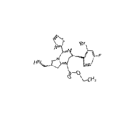 CCOC(=O)C1=C2C[C@@H](C=N)CN2C(c2nccs2)=N[C@H]1c1ccc(F)cc1Br